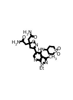 CCn1nc(C)c2c(NC3CCS(=O)(=O)CC3)c(C3=NOC(CC(N)=O)(CC(N)=O)C3)cnc21